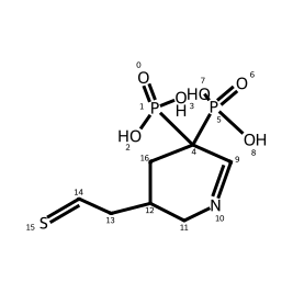 O=P(O)(O)C1(P(=O)(O)O)C=NCC(CC=S)C1